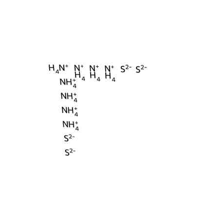 [NH4+].[NH4+].[NH4+].[NH4+].[NH4+].[NH4+].[NH4+].[NH4+].[S-2].[S-2].[S-2].[S-2]